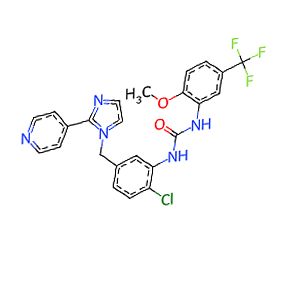 COc1ccc(C(F)(F)F)cc1NC(=O)Nc1cc(Cn2ccnc2-c2ccncc2)ccc1Cl